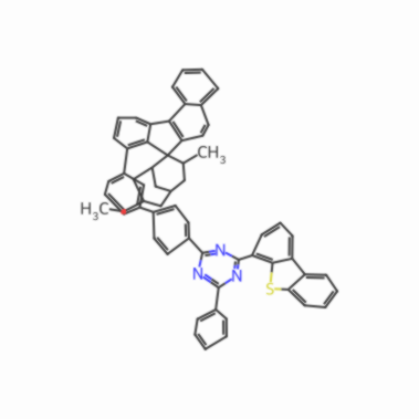 CCC1CC2CC(C)C3(c4ccc5ccccc5c4-c4cccc(-c5cccc(-c6ccc(-c7nc(-c8ccccc8)nc(-c8cccc9c8sc8ccccc89)n7)cc6)c5)c43)C(C1)C2